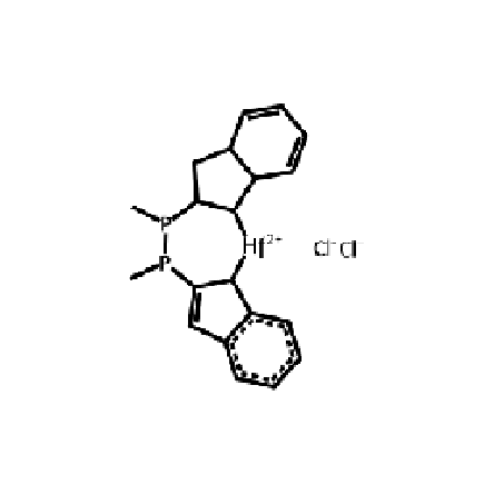 CP1C2=Cc3ccccc3[CH]2[Hf+2][CH]2C3C=CC=CC3CC2P1C.[Cl-].[Cl-]